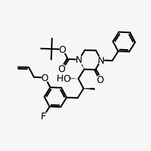 C=CCOc1cc(F)cc(C[C@H](C)[C@H](O)[C@H]2C(=O)N(Cc3ccccc3)CCN2C(=O)OC(C)(C)C)c1